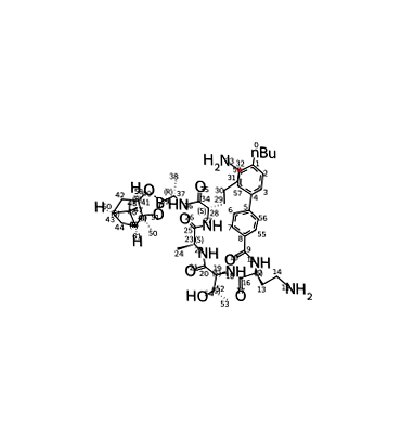 CCCCc1ccc(-c2ccc(C(=O)N[C@@H](CCN)C(=O)N[C@H](C(=O)N[C@@H](C)C(=O)N[C@@H](CCCCN)C(=O)N[C@@H](C)B3O[C@@H]4C[C@@H]5C[C@@H](C5(C)C)[C@]4(C)O3)[C@H](C)O)cc2)cc1